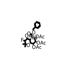 CC(=O)OC[C@@H](OC(C)=O)[C@@H](OC(C)=O)C1OC(C)(C)C(F)C(OC(C)=O)C1NC(=O)OCc1ccccc1